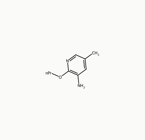 CCCOc1ncc(C)cc1N